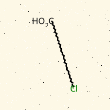 O=C(O)CCCCCCCCCCCCCCCCCCCCCCCCCCCCCCCCCCCCl